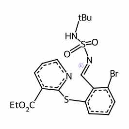 CCOC(=O)c1cccnc1Sc1cccc(Br)c1/C=N/S(=O)(=O)NC(C)(C)C